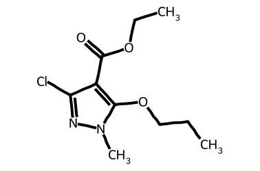 CCCOc1c(C(=O)OCC)c(Cl)nn1C